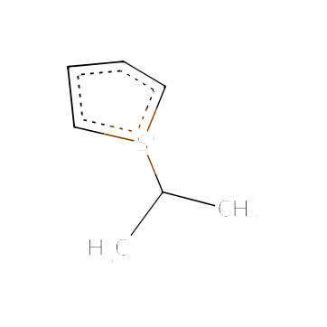 CC(C)[s+]1cccc1